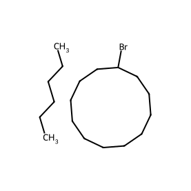 BrC1CCCCCCCCCCC1.CCCCCC